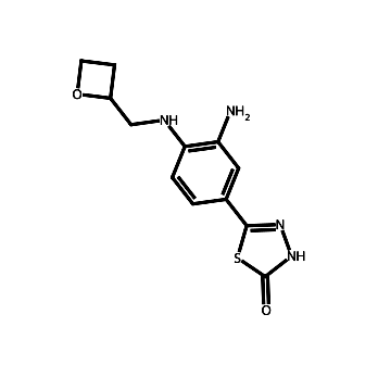 Nc1cc(-c2n[nH]c(=O)s2)ccc1NCC1CCO1